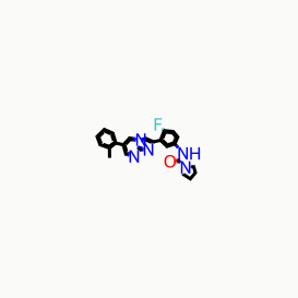 Cc1ccccc1-c1cnc2nc(-c3cc(NC(=O)N4CCCC4)ccc3F)cn2c1